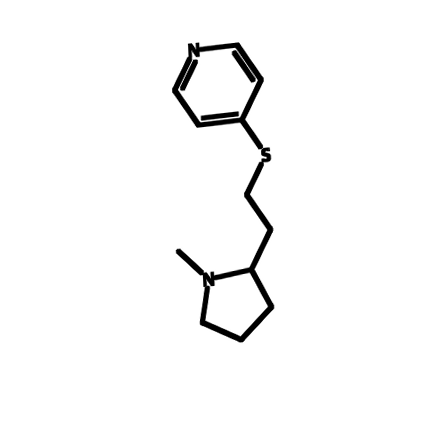 CN1CCCC1CCSc1ccncc1